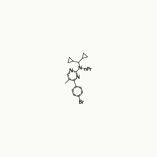 CCCN(c1ncc(C)c(-c2ccc(Br)cc2)n1)C(C1CC1)C1CC1